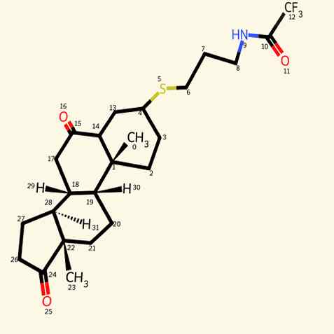 C[C@]12CCC(SCCCNC(=O)C(F)(F)F)CC1C(=O)C[C@@H]1[C@H]2CC[C@]2(C)C(=O)CC[C@@H]12